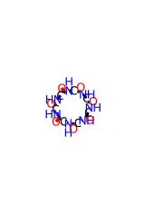 O=C1CNC(=O)CNC(=O)CNC(=O)CNC(=O)CNC(=O)CNC(=O)CN1